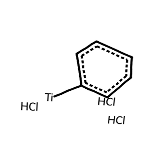 Cl.Cl.Cl.[Ti][c]1ccccc1